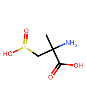 CC(N)(CS(=O)O)C(=O)O